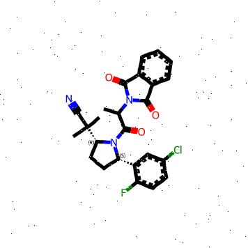 CC(C(=O)N1[C@H](c2cc(Cl)ccc2F)CC[C@@H]1C(C)(C)C#N)N1C(=O)c2ccccc2C1=O